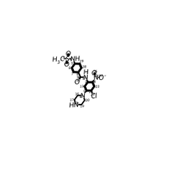 CS(=O)(=O)Nc1ccc(C(=O)Nc2cc(N3CCNCC3)c(Cl)cc2[N+](=O)[O-])cc1